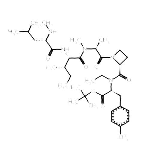 CC[C@H](C)[C@H](NC(=O)[C@H](CC(C)C)NC)C(=O)N(C)[C@@H](C)C(=O)N1CC[C@H]1C(=O)N(CC)[C@@H](Cc1ccc(C)cc1)C(=O)OC(C)(C)C